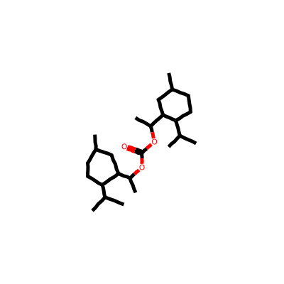 CC1CCC(C(C)C)C(C(C)OC(=O)OC(C)C2CC(C)CCC2C(C)C)C1